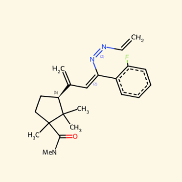 C=C/N=N\C(=C/C(=C)[C@@H]1CCC(C)(C(=O)NC)C1(C)C)c1ccccc1F